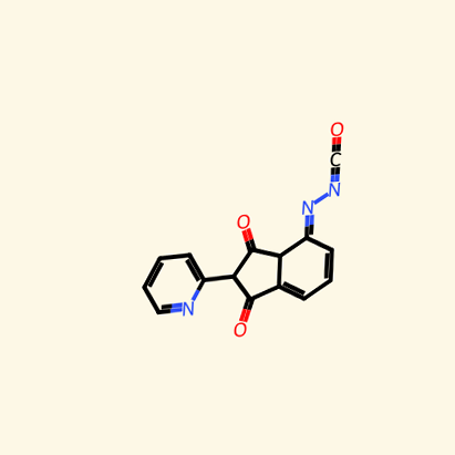 O=C=NN=C1C=CC=C2C(=O)C(c3ccccn3)C(=O)C21